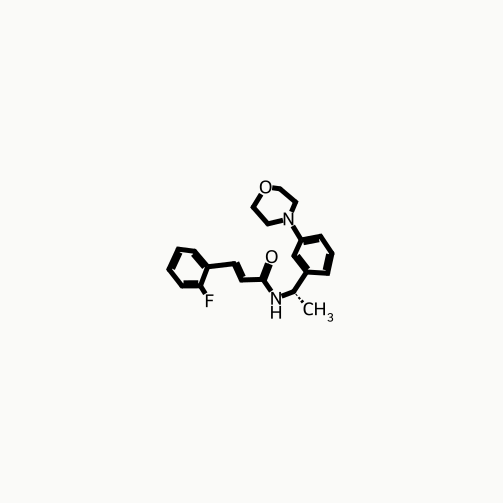 C[C@H](NC(=O)/C=C/c1ccccc1F)c1cccc(N2CCOCC2)c1